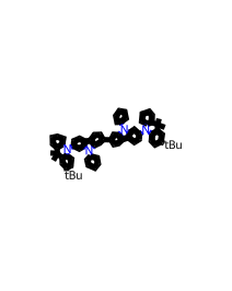 CC(C)(C)c1ccc2c(c1)C(C)(C)c1ccccc1N2c1ccc2c3ccc(-c4ccc5c6ccc(N7c8ccccc8C(C)(C)c8cc(C(C)(C)C)ccc87)cc6n(-c6ccccc6)c5c4)cc3n(-c3ccccc3)c2c1